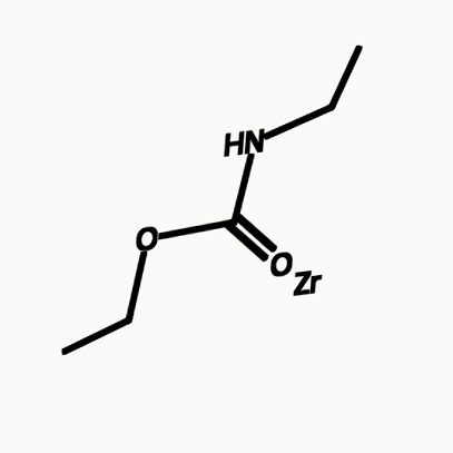 CCNC(=O)OCC.[Zr]